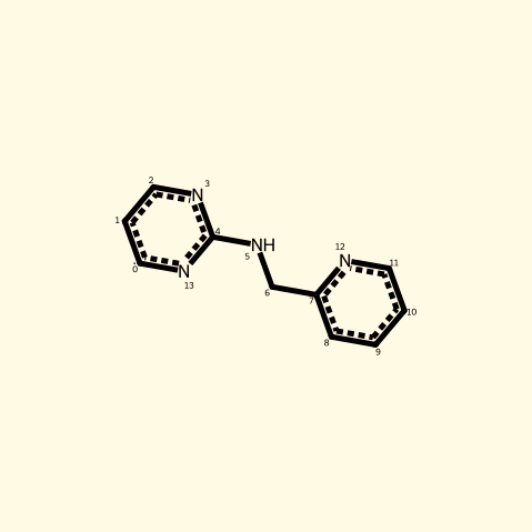 [c]1ccnc(NCc2ccccn2)n1